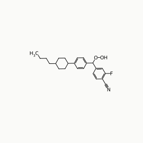 CCCCC1CCC(c2ccc(C(OO)c3ccc(C#N)c(F)c3)cc2)CC1